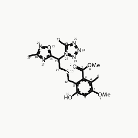 COC(=O)c1c(C)c(OC)cc(O)c1CSCC(c1nc(C)no1)n1nnnc1C